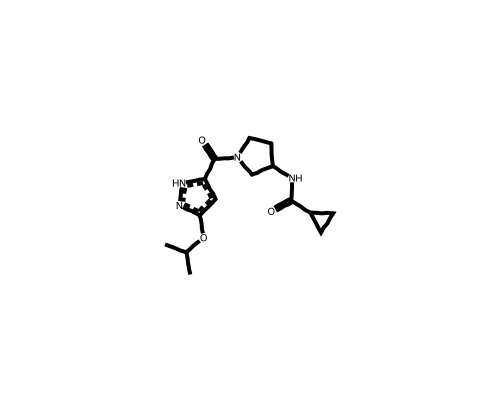 CC(C)Oc1cc(C(=O)N2CCC(NC(=O)C3CC3)C2)[nH]n1